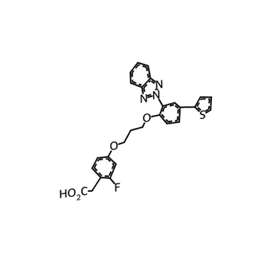 O=C(O)Cc1ccc(OCCCOc2ccc(-c3cccs3)cc2-n2nc3ccccc3n2)cc1F